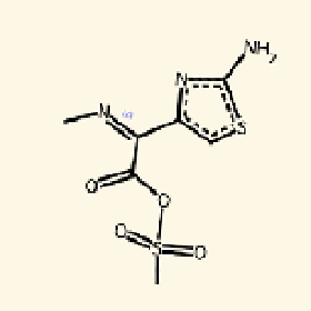 C/N=C(\C(=O)OS(C)(=O)=O)c1csc(N)n1